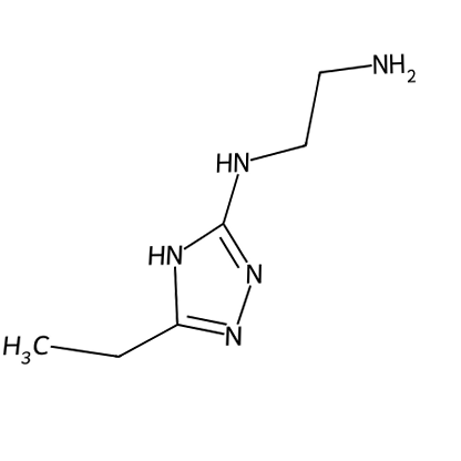 CCc1nnc(NCCN)[nH]1